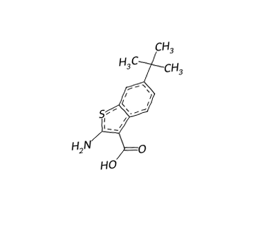 CC(C)(C)c1ccc2c(C(=O)O)c(N)sc2c1